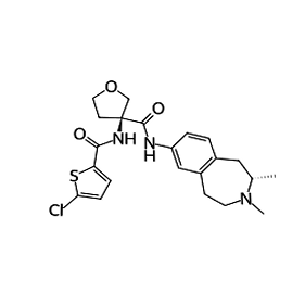 C[C@H]1Cc2ccc(NC(=O)[C@]3(NC(=O)c4ccc(Cl)s4)CCOC3)cc2CCN1C